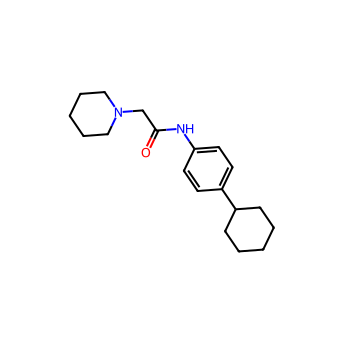 O=C(CN1CCCCC1)Nc1ccc(C2CCCCC2)cc1